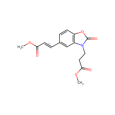 COC(=O)/C=C/c1ccc2oc(=O)n(CCC(=O)OC)c2c1